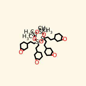 C[Si]1(C)O[Si](C)(C)O[Si](CCC2CCC3OC3C2)(CCC2CCC3OC3C2)O[Si](CCC2CCC3OC3C2)(CCC2CCC3OC3C2)O1